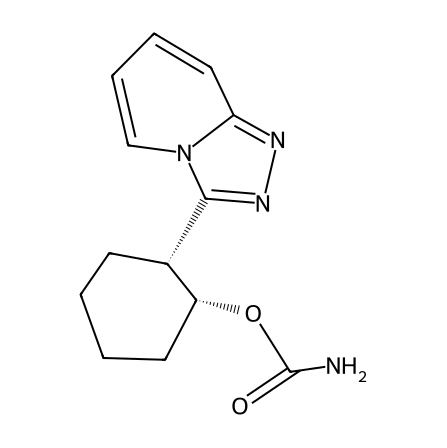 NC(=O)O[C@@H]1CCCC[C@@H]1c1nnc2ccccn12